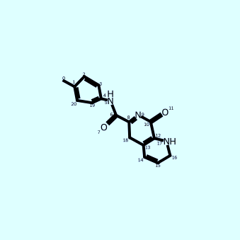 Cc1ccc(NC(=O)C2=NC(=O)C3=C(C=CCN3)C2)cc1